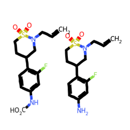 C=CCN1CC(c2ccc(N)cc2F)CCS1(=O)=O.C=CCN1CC(c2ccc(NC(=O)O)cc2F)CCS1(=O)=O